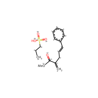 C=C(CC=Cc1ccccc1)C(=O)OC.CCCS(=O)(=O)O